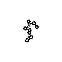 c1ccc(-c2cccc(-c3nc(-n4c5ccccc5c5c6ccc(-c7cccc8c7oc7ccccc78)cc6ccc54)nc4ccccc34)c2)cc1